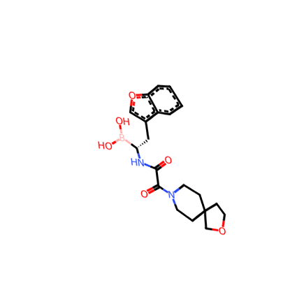 O=C(N[C@@H](Cc1coc2ccccc12)B(O)O)C(=O)N1CCC2(CCOC2)CC1